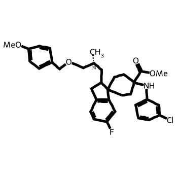 COC(=O)C1(Nc2cccc(Cl)c2)CCC2(CC1)c1cc(F)ccc1CC2C[C@@H](C)COCc1ccc(OC)cc1